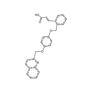 O=C(O)C=Cc1ccccc1COc1ccc(OCc2ccc3ccccc3n2)cc1